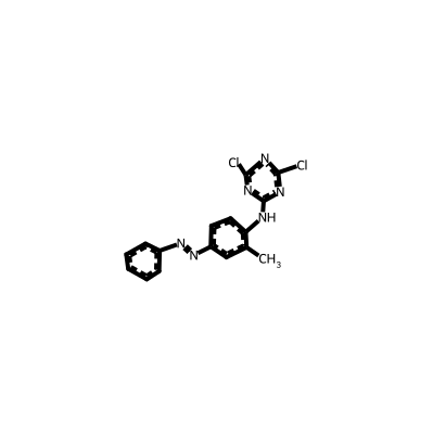 Cc1cc(N=Nc2ccccc2)ccc1Nc1nc(Cl)nc(Cl)n1